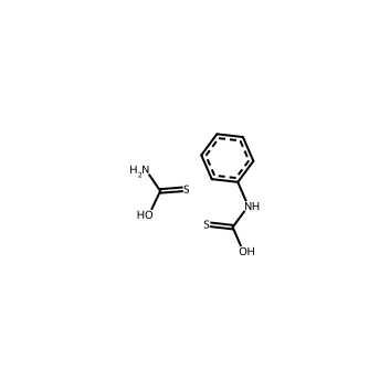 NC(O)=S.OC(=S)Nc1ccccc1